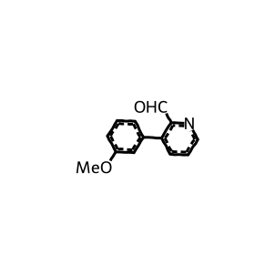 COc1cccc(-c2cccnc2C=O)c1